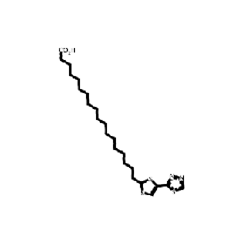 O=C(O)CCCCCCCCCCCCCCCCCC1SC=C(c2nncs2)S1